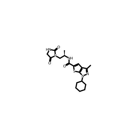 Cc1nn(C2CCCCC2)c2sc(C(=O)N[C@H](C)CN3C(=O)CNC3=O)cc12